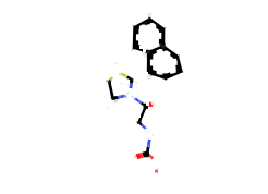 CC(C)(C)OC(=O)NCC(=O)N1[C@@H](c2cccc3ccccc23)SC[C@H]1C(=O)O